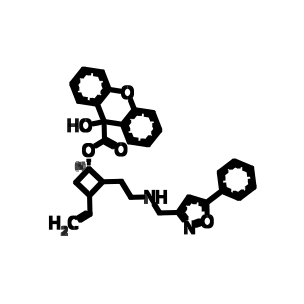 C=CC1C[C@H](OC(=O)C2(O)c3ccccc3Oc3ccccc32)C1CCNCc1cc(-c2ccccc2)on1